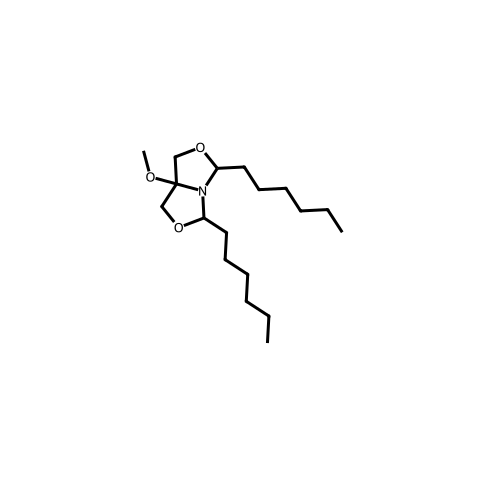 CCCCCCC1OCC2(OC)COC(CCCCCC)N12